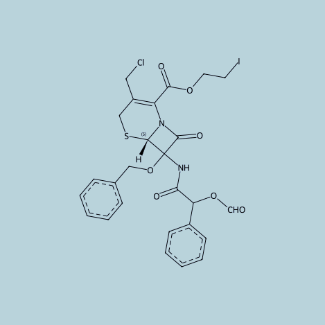 O=COC(C(=O)NC1(OCc2ccccc2)C(=O)N2C(C(=O)OCCI)=C(CCl)CS[C@H]21)c1ccccc1